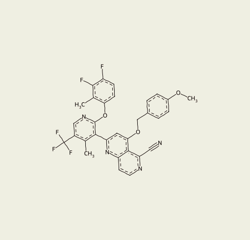 COc1ccc(COc2cc(-c3c(Oc4ccc(F)c(F)c4C)ncc(C(F)(F)F)c3C)nc3ccnc(C#N)c23)cc1